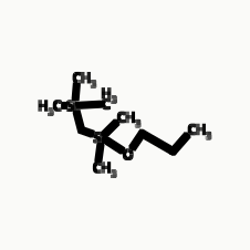 CCCO[Si](C)(C)C[Si](C)(C)C